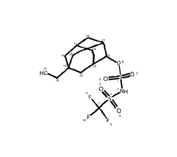 O=S(=O)(NS(=O)(=O)C(F)(F)F)OC1C2CC3CC1CC(CO)(C3)C2